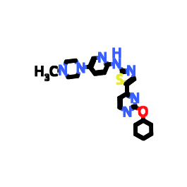 CN1CCN(c2ccc(Nc3ncc(-c4ccnc(OC5CCCCC5)n4)s3)nc2)CC1